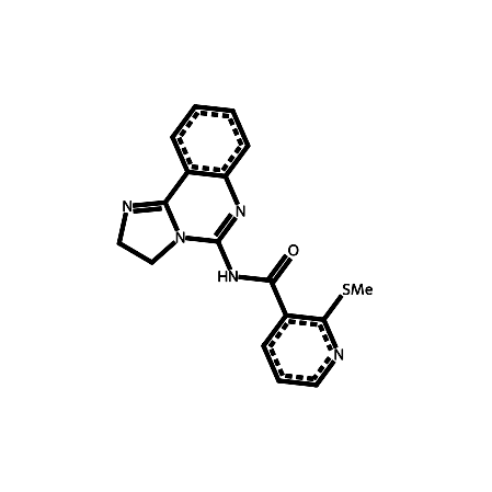 CSc1ncccc1C(=O)NC1=Nc2ccccc2C2=NCCN12